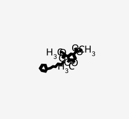 COC(=O)c1cc(OC)c(OCCCCCCc2ccccc2)c(C(=O)OC)c1